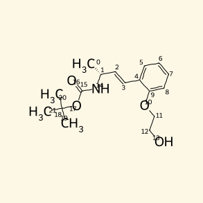 C[C@H](/C=C/c1ccccc1OCCO)NC(=O)OC(C)(C)C